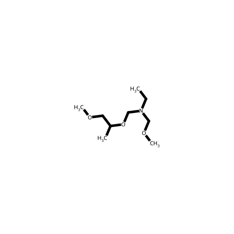 CCN(COC)COC(C)COC